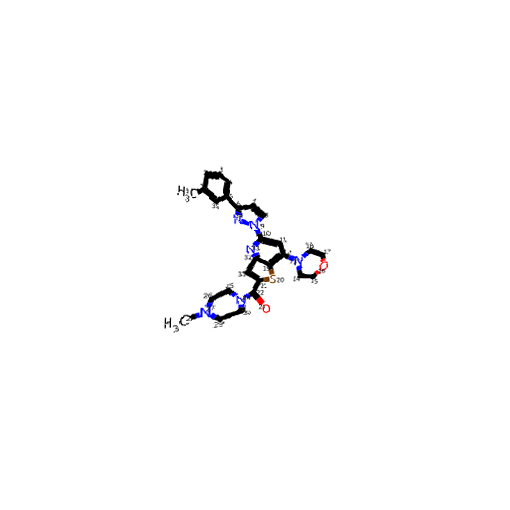 Cc1cccc(-c2ccn(-c3cc(N4CCOCC4)c4sc(C(=O)N5CCN(C)CC5)cc4n3)n2)c1